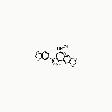 O=C(Cc1c(-c2ccc3c(c2)OCO3)n[nH]c1-c1ccc2c(c1)OCO2)NO